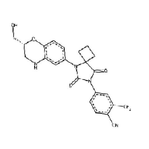 N#Cc1ccc(N2C(=O)C3(CCC3)N(c3ccc4c(c3)NC[C@H](CO)O4)C2=S)cc1C(F)(F)F